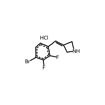 Cl.Fc1c(Br)ccc(C=C2CNC2)c1F